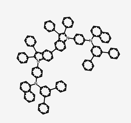 c1ccc(-c2cc(-c3ccccc3)cc(N(c3ccc(-n4c(-c5ccccc5)c(-c5ccccc5)c5cc(-c6ccc7c(c6)c(-c6ccccc6)c(-c6ccccc6)n7-c6ccc(N(c7cc(-c8ccccc8)cc(-c8ccccc8)c7)c7cccc8ccccc78)cc6)ccc54)cc3)c3cccc4ccccc34)c2)cc1